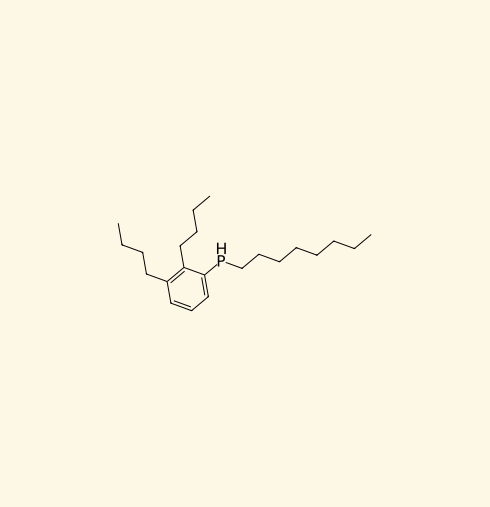 CCCCCCCCPc1cccc(CCCC)c1CCCC